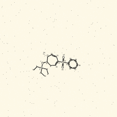 CC[Si](CC)(CC)O[C@@H]1CC=C(S(=O)(=O)c2ccccc2)C=C[C@H]1C